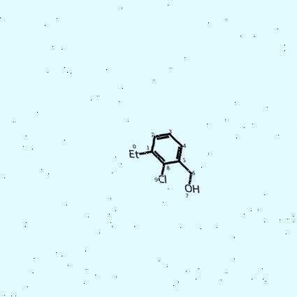 CCc1cccc(CO)c1Cl